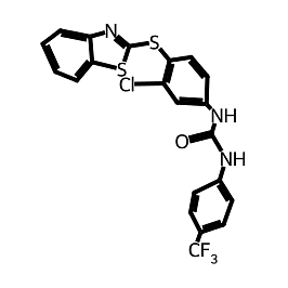 O=C(Nc1ccc(C(F)(F)F)cc1)Nc1ccc(Sc2nc3ccccc3s2)c(Cl)c1